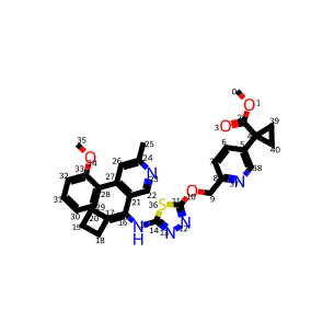 COC(=O)C1(c2ccc(COc3nnc(NC(=C4CCC4)c4cnc(C)cc4-c4ccccc4OC)s3)nc2)CC1